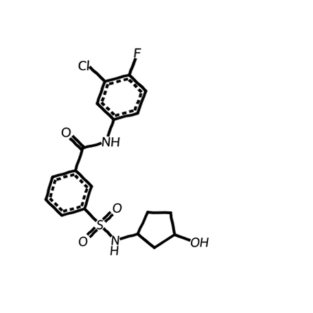 O=C(Nc1ccc(F)c(Cl)c1)c1cccc(S(=O)(=O)NC2CCC(O)C2)c1